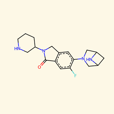 O=C1c2cc(F)c(N3CC4CC(C3)N4)cc2CN1C1CCCNC1